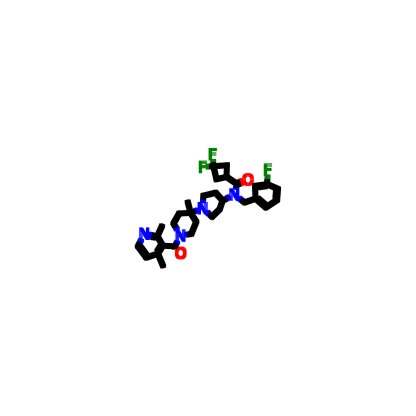 Cc1ccnc(C)c1C(=O)N1CCC(C)(N2CCC(N(Cc3cccc(F)c3)C(=O)C3CC(F)(F)C3)CC2)CC1